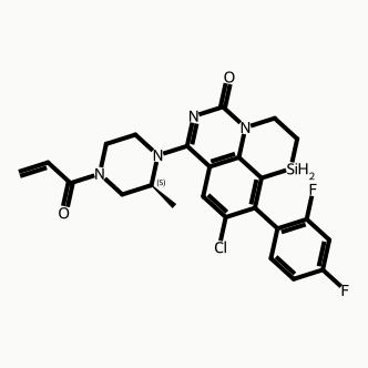 C=CC(=O)N1CCN(c2nc(=O)n3c4c(c(-c5ccc(F)cc5F)c(Cl)cc24)[SiH2]CC3)[C@@H](C)C1